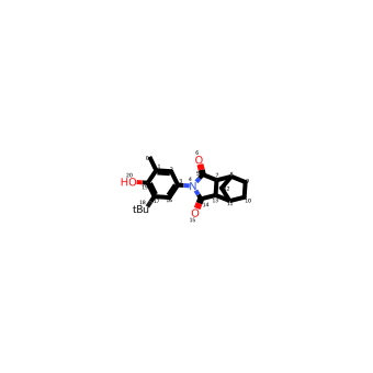 Cc1cc(N2C(=O)C3C4CCC(C4)C3C2=O)cc(C(C)(C)C)c1O